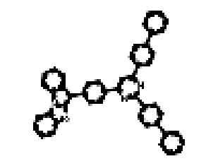 c1ccc(-c2ccc(-c3cc(-c4ccc(-c5c6ccccc6n6c5sc5ccccc56)cc4)nc(-c4ccc(-c5ccccc5)cc4)n3)cc2)cc1